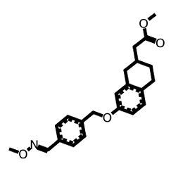 CON=Cc1ccc(COc2ccc3c(c2)CC(CC(=O)OC)CC3)cc1